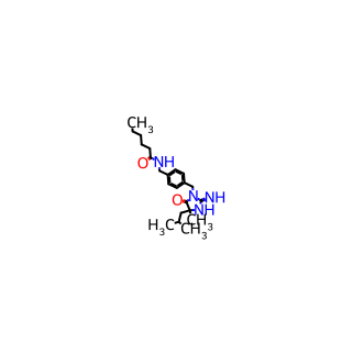 CCCCCC(=O)NCc1ccc(CN2C(=N)NC(C)(CC(C)C)C2=O)cc1